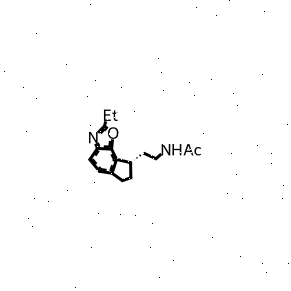 CCc1nc2ccc3c(c2o1)[C@H](CCNC(C)=O)CC3